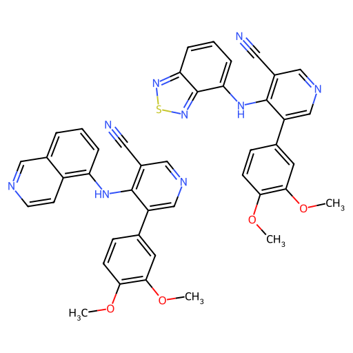 COc1ccc(-c2cncc(C#N)c2Nc2cccc3cnccc23)cc1OC.COc1ccc(-c2cncc(C#N)c2Nc2cccc3nsnc23)cc1OC